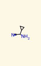 N#C[C@H](N)C1CC1